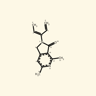 C=C/C(=C\C)N1Cc2cc(C)nc(C)c2C1=O